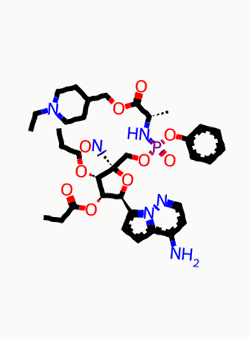 CCC(=O)O[C@H]1[C@H](c2ccc3c(N)ccnn23)O[C@](C#N)(COP(=O)(N[C@@H](C)C(=O)OCC2CCN(CC)CC2)Oc2ccccc2)[C@H]1OC(=O)CC